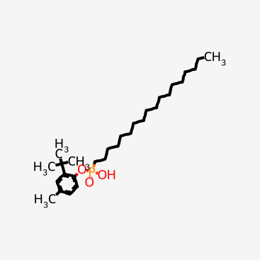 CCCCCCCCCCCCCCCCCCP(=O)(O)Oc1ccc(C)cc1C(C)(C)C